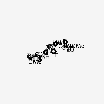 CC[C@H](C)C(NC(=O)OC)C(=O)N1CCC[C@H]1C(=O)Nc1ccc([C@@H]2CC[C@@H](c3ccc(NC(=O)[C@@H]4CCCN4C(=O)[C@@H](NC(=O)OC)[C@@H](C)CC)cc3)N2c2ccc(F)cc2)cc1